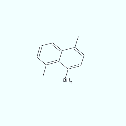 Bc1ccc(C)c2cccc(C)c12